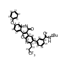 CNC(=O)c1c(-c2ccc(Oc3ccccc3)cc2)oc2nc(CCC(F)(F)F)c(-c3cccc(C(=O)NC(C)(C)C)c3)cc12